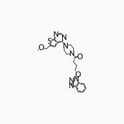 COCc1cc2c(N3CCN(C(=O)CCCOn4nnc5ccccc54)CC3)ncnc2s1